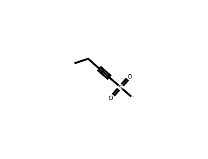 [CH2]S(=O)(=O)C#CCC